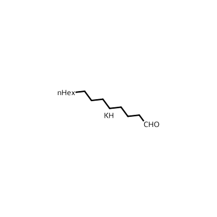 CCCCCCCCCCCCCC=O.[KH]